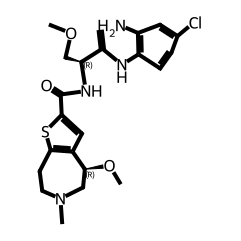 C=C(Nc1ccc(Cl)cc1N)[C@H](COC)NC(=O)c1cc2c(s1)CCN(C)C[C@@H]2OC